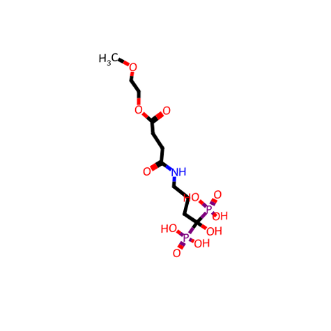 COCCOC(=O)CCC(=O)NCCCC(O)(P(=O)(O)O)P(=O)(O)O